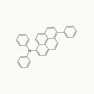 [c]1ccc(-c2ccc3ccc4c(N(c5ccccc5)c5ccccc5)ccc5ccc2c3c54)cc1